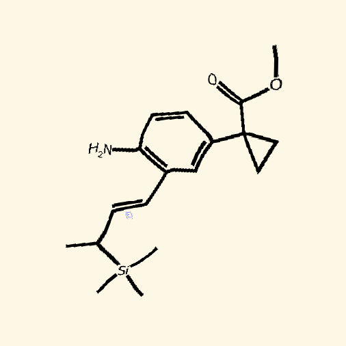 COC(=O)C1(c2ccc(N)c(/C=C/C(C)[Si](C)(C)C)c2)CC1